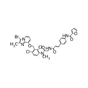 Cc1nc2c(OCc3c(Cl)ccc(N(C)C(=O)CNC(=O)/C=C/c4ccc(NC(=O)c5ccco5)cc4)c3Cl)cccn2c1Br